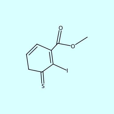 COC(=O)C1=C(I)C(=S)CC=C1